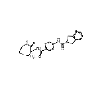 C[C@]1(NC(=O)c2ccc(NC(=O)N3Cc4cccnc4C3)cc2)CCCCNC1=O